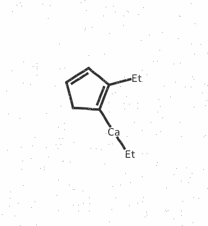 C[CH2][Ca][C]1=C(CC)C=CC1